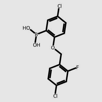 OB(O)c1cc(Cl)ccc1OCc1ccc(Cl)cc1F